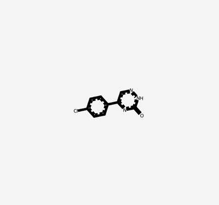 O=c1nc(-c2ccc(Cl)cc2)cn[nH]1